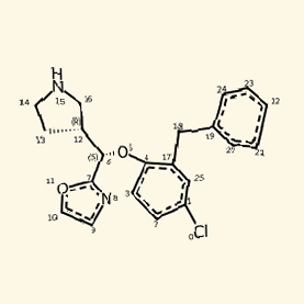 Clc1ccc(O[C@H](c2ncco2)[C@@H]2CCNC2)c(Cc2ccccc2)c1